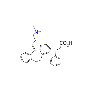 CN(C)CCC=C1c2ccccc2CCc2ccccc21.O=C(O)CCc1ccccc1